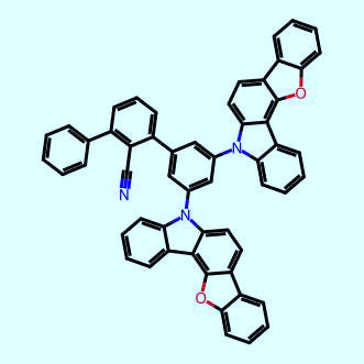 N#Cc1c(-c2ccccc2)cccc1-c1cc(-n2c3ccccc3c3c4oc5ccccc5c4ccc32)cc(-n2c3ccccc3c3c4oc5ccccc5c4ccc32)c1